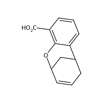 O=C(O)c1cccc2c1OC1C=CCC2C1